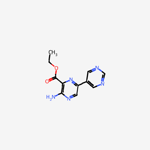 CCOC(=O)c1nc(-c2cncnc2)cnc1N